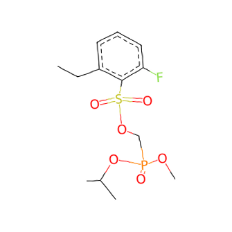 CCc1cccc(F)c1S(=O)(=O)OCP(=O)(OC)OC(C)C